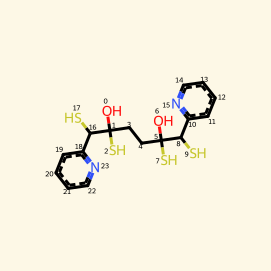 OC(S)(CCC(O)(S)C(S)c1ccccn1)C(S)c1ccccn1